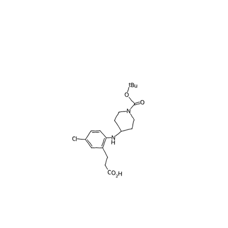 CC(C)(C)OC(=O)N1CCC(Nc2ccc(Cl)cc2CCC(=O)O)CC1